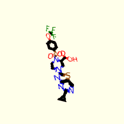 O=C(O)C1CN(c2nc3nc(C4CC4)ncc3s2)CCN1S(=O)(=O)c1ccc(OC(F)(F)F)cc1